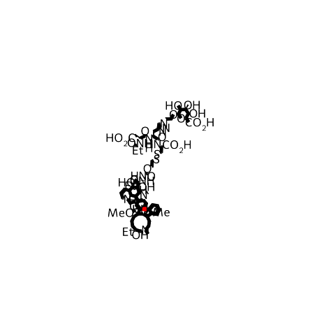 CCC(=O)N[C@@H](CC(=O)O)C(=O)N[C@@H](Cc1cn(CCO[C@@H]2OC(C(=O)O)[C@@H](O)[C@H](O)C2O)nn1)C(=O)N[C@@H](CSSCCOC(=O)NNC(=O)[C@@]1(O)[C@H](O)[C@]2(CC)C=CCN3CC[C@@]4(c5cc([C@@]6(C(=O)OC)CCC[C@@](O)(CC)CN(C)CCc7c6[nH]c6ccccc76)c(OC)cc5N(C)[C@@H]14)[C@@H]32)C(=O)O